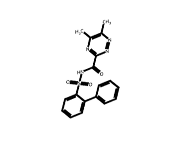 Cc1nnc(C(=O)NS(=O)(=O)c2ccccc2-c2ccccc2)nc1C